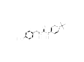 CC(C)(C)N1C=CC(NC(=O)NCc2ccc(O)cc2)=CC1